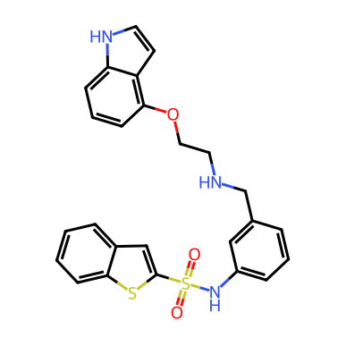 O=S(=O)(Nc1cccc(CNCCOc2cccc3[nH]ccc23)c1)c1cc2ccccc2s1